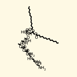 CC(=O)O.CC(=O)O.CC(=O)O.CC(=O)O.CC(=O)O.CCCCCCCCCCCCCC(=O)OCC(COP(=O)(O)O)OC(=O)CCCCCCCCCCCCC.NCCNCCN.NCCO